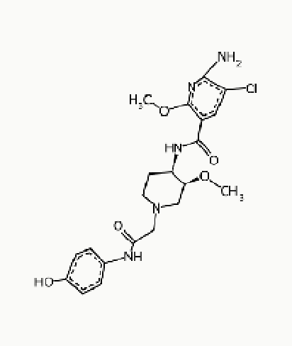 COc1nc(N)c(Cl)cc1C(=O)N[C@@H]1CCN(CC(=O)Nc2ccc(O)cc2)C[C@@H]1OC